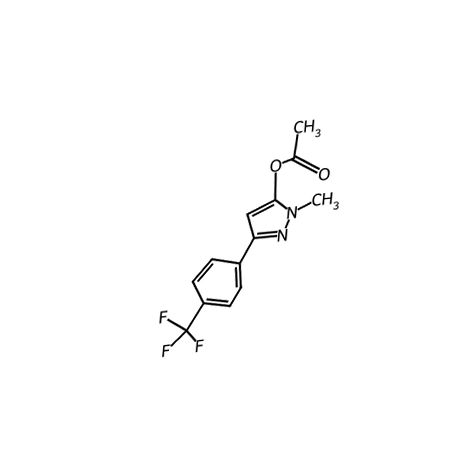 CC(=O)Oc1cc(-c2ccc(C(F)(F)F)cc2)nn1C